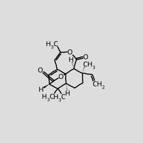 C=C[C@@]1(C)CC[C@H]2C(C)(C)[C@@H]3C=C4C=C(C)OC(=O)[C@@H]1[C@@]42OC3=O